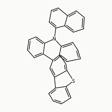 c1ccc(N(c2ccccc2-c2ccc3sc4ccccc4c3c2)c2cccc3ccccc23)cc1